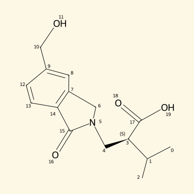 CC(C)[C@@H](CN1Cc2cc(CO)ccc2C1=O)C(=O)O